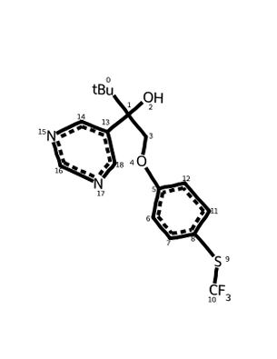 CC(C)(C)C(O)(COc1ccc(SC(F)(F)F)cc1)c1cncnc1